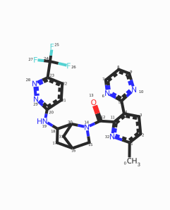 Cc1ccc(-c2ncccn2)c(C(=O)N2CC3CC(Nc4ccc(C(F)(F)F)nn4)C2C3)n1